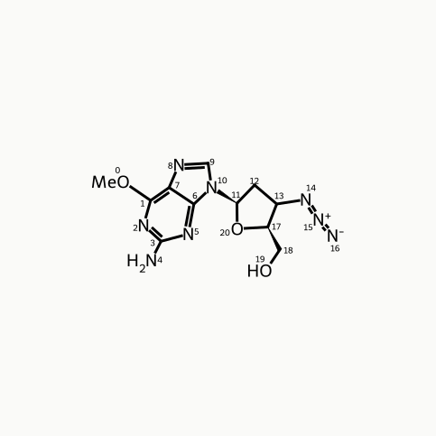 COc1nc(N)nc2c1ncn2[C@H]1CC(N=[N+]=[N-])[C@@H](CO)O1